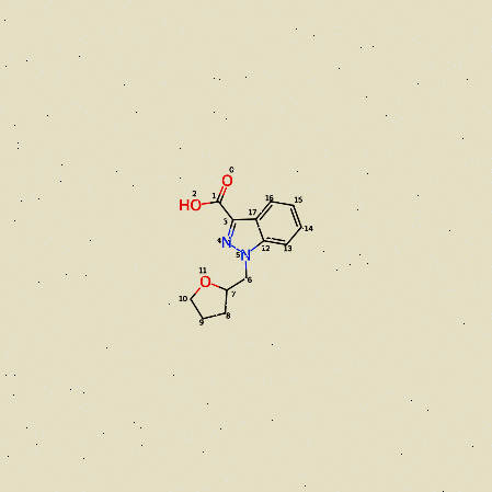 O=C(O)c1nn(CC2CCCO2)c2ccccc12